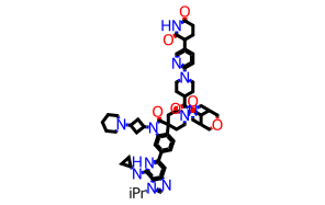 CC(C)n1cnc2cc(-c3ccc4c(c3)N(C3CC(N5CCCCC5)C3)C(=O)C43CCN(C(=O)C4C5COCC4CN(C(=O)C4CCN(c6ccc(C7CCC(=O)NC7=O)cn6)CC4)C5)CC3)nc(NC3CC3)c21